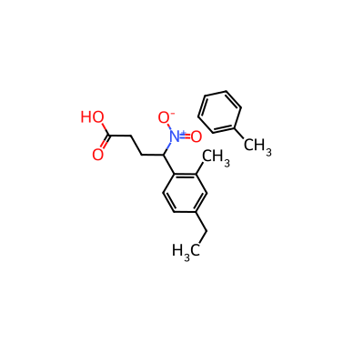 CCc1ccc(C(CCC(=O)O)[N+](=O)[O-])c(C)c1.Cc1ccccc1